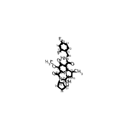 COc1c2n3c(c(C(=O)NCc4ccc(F)cc4F)c1=O)C(C)C[C@@H]3[C@H]1OC3CCC(C3)N1C2=O